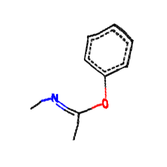 CN=C(C)Oc1ccccc1